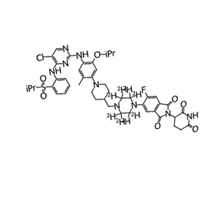 [2H]C1([2H])N(CC2CCN(c3cc(OC(C)C)c(Nc4ncc(Cl)c(Nc5ccccc5S(=O)(=O)C(C)C)n4)cc3C)CC2)C([2H])([2H])C([2H])([2H])N(c2cc3c(cc2F)C(=O)N(C2CCC(=O)NC2=O)C3=O)C1([2H])[2H]